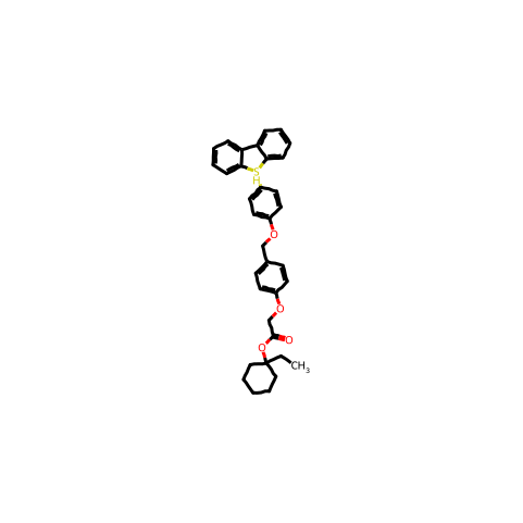 CCC1(OC(=O)COc2ccc(COc3ccc([SH]4c5ccccc5-c5ccccc54)cc3)cc2)CCCCC1